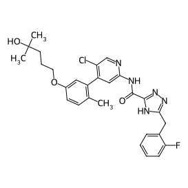 Cc1ccc(OCCCC(C)(C)O)cc1-c1cc(NC(=O)c2nnc(Cc3ccccc3F)[nH]2)ncc1Cl